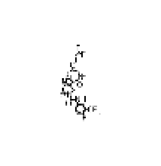 C[C@@H]1Cc2nn3c(c2CN1C(=O)Nc1ccc(F)c(C(F)(F)F)c1)C(=O)N(C)C[C@H](OCCC(F)F)C3